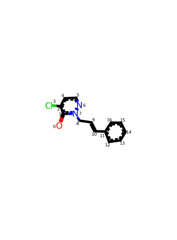 O=c1c(Cl)ccnn1CC=Cc1ccccc1